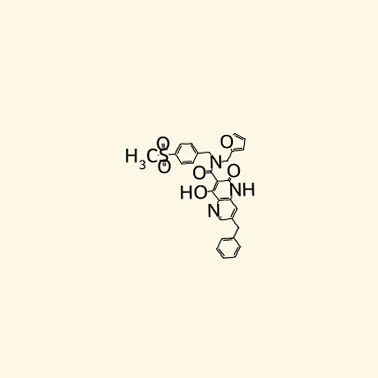 CS(=O)(=O)c1ccc(CN(Cc2ccco2)C(=O)c2c(O)c3ncc(Cc4ccccc4)cc3[nH]c2=O)cc1